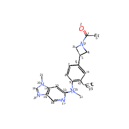 CCC(=O)N1CC(c2ccc(N(C)c3cc4c(cn3)ncn4C)c(CC)c2)C1